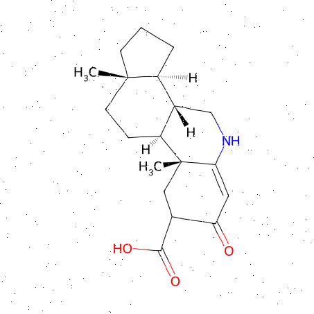 C[C@@]12CCC[C@H]1[C@@H]1CNC3=CC(=O)C(C(=O)O)C[C@]3(C)[C@H]1CC2